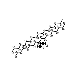 Br.CCCCCCCCCCCCCCCCCC.CCCCCCCCCCCCCCCCCC.N